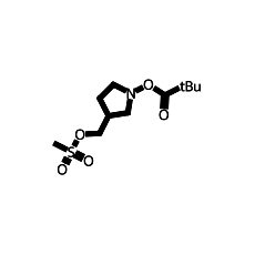 CC(C)(C)C(=O)ON1CCC(COS(C)(=O)=O)C1